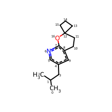 CC(C)Cc1cnc2c(c1)CCC1(CCC1)O2